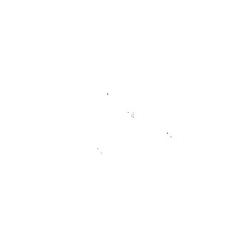 [c]1cnn2cncc2n1